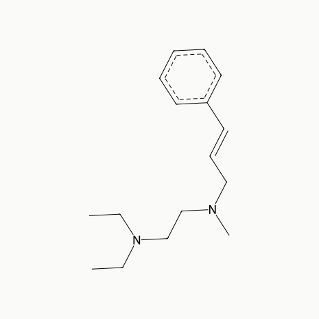 CCN(CC)CCN(C)C/C=C/c1ccccc1